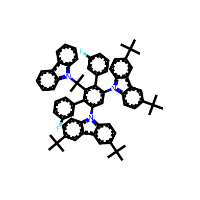 CC(C)(C)c1ccc2c(c1)c1cc(C(C)(C)C)ccc1n2-c1cc(-n2c3ccc(C(C)(C)C)cc3c3cc(C(C)(C)C)ccc32)c(-c2cccc(F)c2)c(C(C)(C)n2c3ccccc3c3ccccc32)c1-c1cccc(F)c1